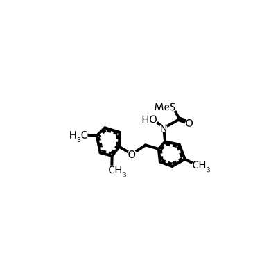 CSC(=O)N(O)c1cc(C)ccc1COc1ccc(C)cc1C